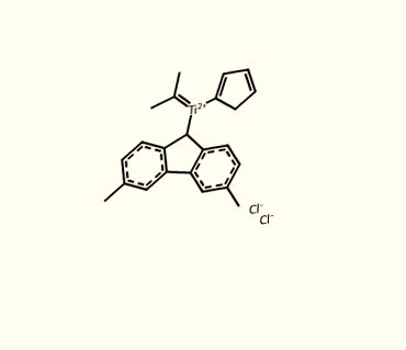 C[C](C)=[Ti+2]([C]1=CC=CC1)[CH]1c2ccc(C)cc2-c2cc(C)ccc21.[Cl-].[Cl-]